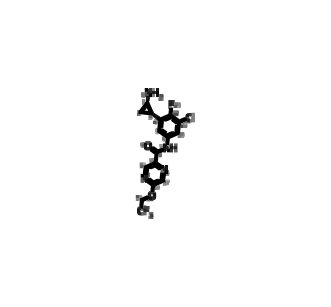 N[C@@H]1C[C@@H]1c1cc(NC(=O)c2cnc(OCC(F)(F)F)cn2)cc(Cl)c1F